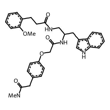 CNC(=O)Cc1ccc(OCC(=O)NC(CNC(=O)CCc2ccccc2OC)Cc2c[nH]c3ccccc23)cc1